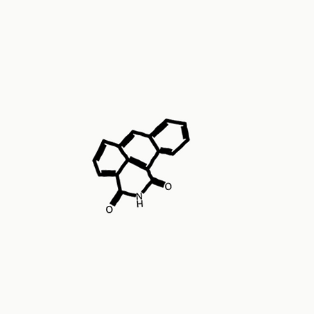 O=C1NC(=O)c2c3ccccc3cc3cccc1c23